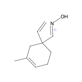 C=CC1(/C=N/O)CCC=C(C)C1